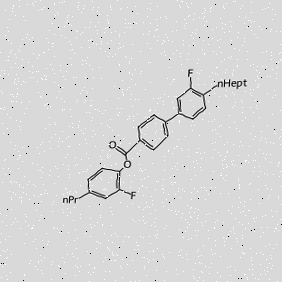 CCCCCCCc1ccc(-c2ccc(C(=O)Oc3ccc(CCC)cc3F)cc2)cc1F